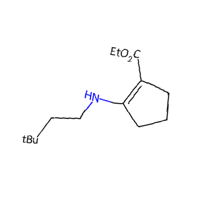 CCOC(=O)C1=C(NCCC(C)(C)C)CCC1